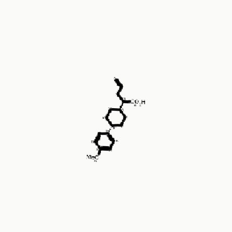 C=CCC(C(=O)O)[C@H]1CC[C@H](c2ccc(OC)cc2)CC1